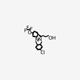 Cc1cc(Cl)ccc1Cn1nc(CCCO)c2ccc(OC(F)(F)F)cc21